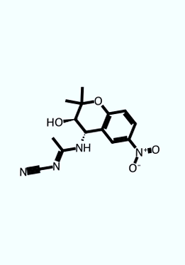 C/C(=N\C#N)N[C@H]1c2cc([N+](=O)[O-])ccc2OC(C)(C)[C@@H]1O